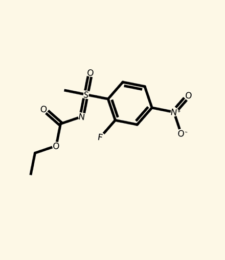 CCOC(=O)N=S(C)(=O)c1ccc([N+](=O)[O-])cc1F